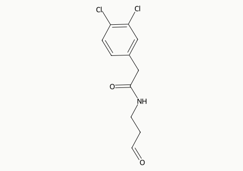 O=CCCNC(=O)Cc1ccc(Cl)c(Cl)c1